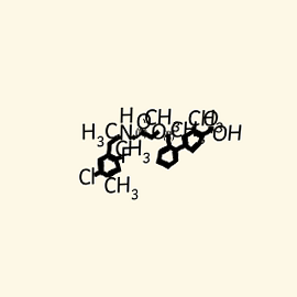 CO[C@H](CNC(C)(C)Cc1cc(Cl)c(C)cc1F)CO[C@H](C)c1ccccc1-c1ccc(C(=O)O)c(C)c1